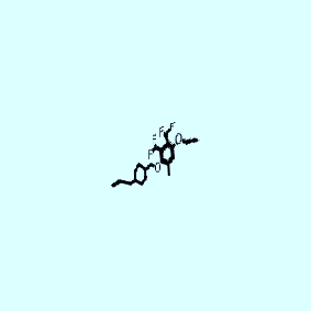 CCCC1CCC(COc2c(C)cc(OCC)c(C(F)F)c2C(F)F)CC1